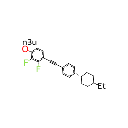 CCCCOc1ccc(C#Cc2ccc([C@H]3CC[C@H](CC)CC3)cc2)c(F)c1F